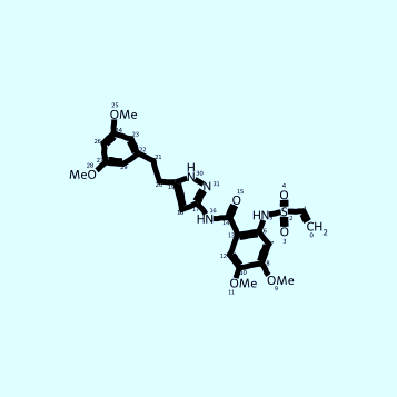 C=CS(=O)(=O)Nc1cc(OC)c(OC)cc1C(=O)Nc1cc(CCc2cc(OC)cc(OC)c2)[nH]n1